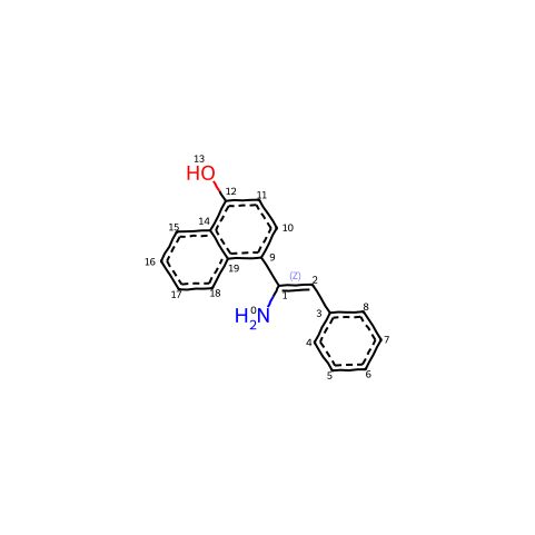 N/C(=C\c1ccccc1)c1ccc(O)c2ccccc12